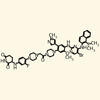 COc1cc(N2CCN(C(=O)CN3CCN(c4ccc(NC5CCC(=O)NC5=O)cc4F)CC3)CC2)c(-c2cnn(C)c2)cc1Nc1ncc(Br)c(Nc2ccc3ccccc3c2P(C)C)n1